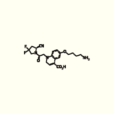 N#C[C@@H]1CC(F)(F)CN1C(=O)CN1CC=C(C(=O)O)c2cc(OCCCCN)ccc21